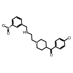 O=C(c1ccc(Cl)cc1)C1CCN(CCNCc2cccc([N+](=O)[O-])c2)CC1